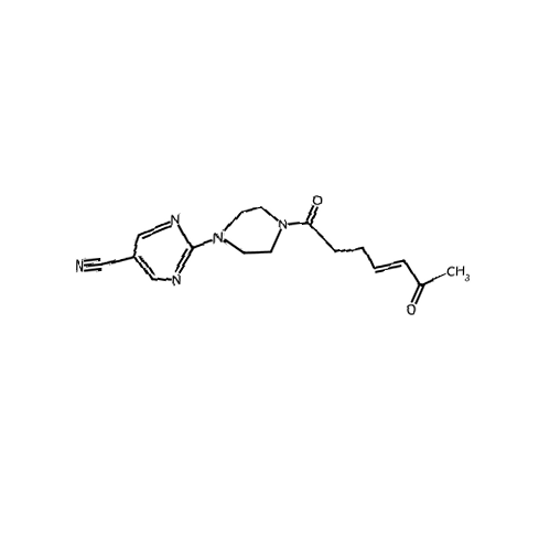 CC(=O)/C=C/CCC(=O)N1CCN(c2ncc(C#N)cn2)CC1